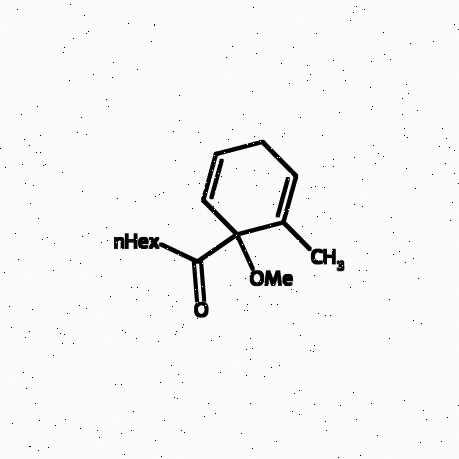 CCCCCCC(=O)C1(OC)C=CCC=C1C